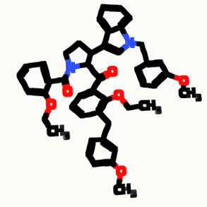 CCOc1ccccc1C(=O)N1CCC(c2cn(Cc3cccc(OC)c3)c3ccccc23)C1C(=O)c1cccc(Cc2cccc(OC)c2)c1OCC